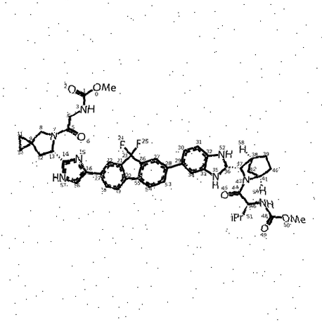 COC(=O)NCC(=O)N1CC2(CC2)C[C@H]1c1nc(-c2ccc3c(c2)C(F)(F)c2cc(-c4ccc5c(c4)NC([C@@H]4[C@H]6CC[C@H](C6)N4C(=O)[C@@H](NC(=O)OC)C(C)C)N5)ccc2-3)c[nH]1